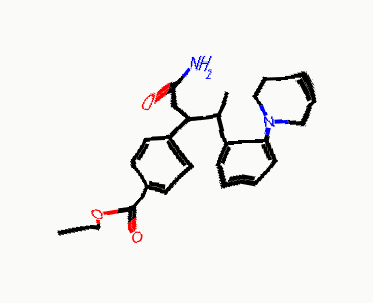 CCOC(=O)c1ccc(C(C(N)=O)C(C)c2ccccc2N2CC=CCC2)cc1